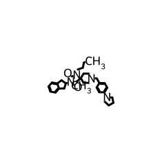 CCCCN(C(=O)N(C)C1Cc2ccccc2C1)C1(C=O)CCN(Cc2ccc(N3CCCC3)cc2)CC1